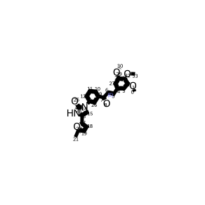 COc1cc(/C=C/C(=O)c2cccc(-n3cc(-c4ccc(C)o4)[nH]c3=O)c2)cc(OC)c1OC